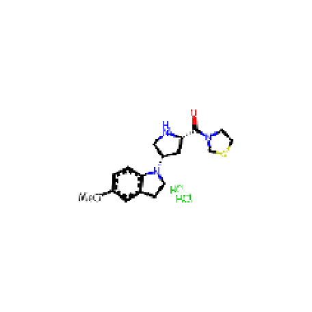 COc1ccc2c(c1)CCN2[C@@H]1CN[C@H](C(=O)N2CCSC2)C1.Cl.Cl